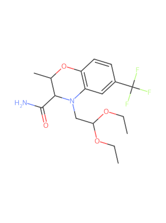 CCOC(CN1c2cc(C(F)(F)F)ccc2OC(C)C1C(N)=O)OCC